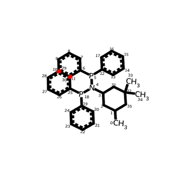 CC1CC(N(P(c2ccccc2)c2ccccc2)P(c2ccccc2)c2ccccc2)CC(C)(C)C1